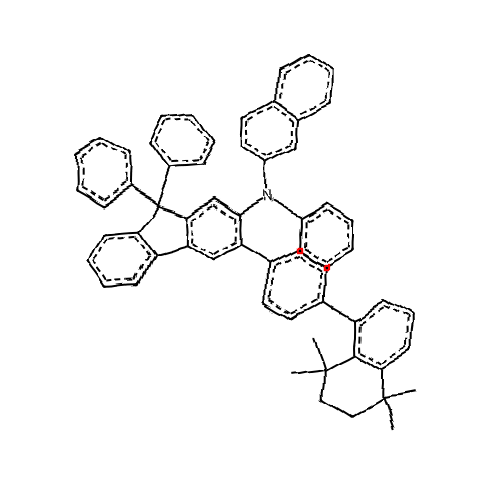 CC1(C)CCC(C)(C)c2c(-c3ccc(-c4cc5c(cc4N(c4ccccc4)c4ccc6ccccc6c4)C(c4ccccc4)(c4ccccc4)c4ccccc4-5)cc3)cccc21